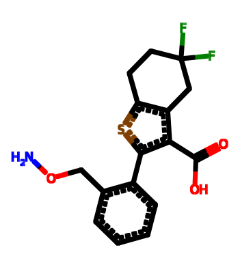 NOCc1ccccc1-c1sc2c(c1C(=O)O)CC(F)(F)CC2